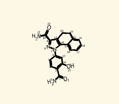 NC(=O)c1ccc(-n2nc(C(N)=O)c3c2-c2ccccc2CC3)cc1O